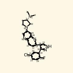 CN(C)[C@H]1CCN(c2cnc3ccc(-c4c[nH]nc4-c4cc(Cl)ccc4F)nc3c2)C1